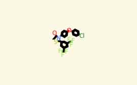 O=C1CSC(c2cc(C(F)(F)F)cc(C(F)(F)F)c2)N1c1ccc(Oc2ccc(Cl)cc2)cc1